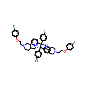 Fc1ccc(OCCN2CCC(CNC(c3ccc(Cl)cc3)(c3ccccn3)[C@](NCC3CCN(CCOc4ccc(F)cc4)CC3)(c3ccc(Cl)cc3)c3ccccn3)CC2)cc1